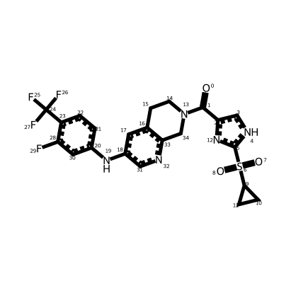 O=C(c1c[nH]c(S(=O)(=O)C2CC2)n1)N1CCc2cc(Nc3ccc(C(F)(F)F)c(F)c3)cnc2C1